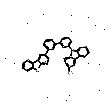 N#Cc1ccc2c(c1)c1ccccc1n2-c1cccc(-c2cccc(-c3ccc4oc5ccccc5c4c3)c2)c1